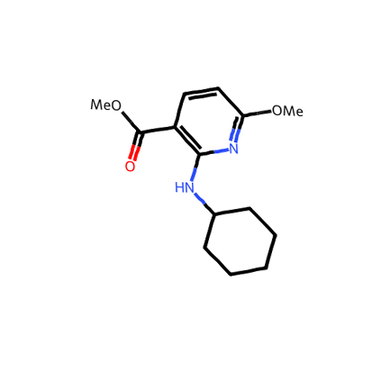 COC(=O)c1ccc(OC)nc1NC1CCCCC1